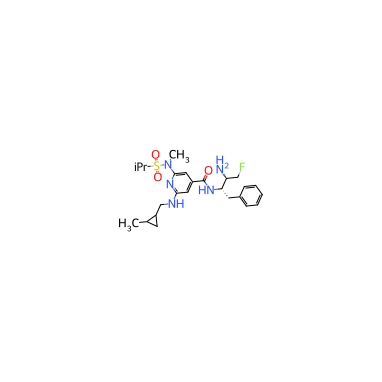 CC1CC1CNc1cc(C(=O)N[C@@H](Cc2ccccc2)[C@@H](N)CF)cc(N(C)S(=O)(=O)C(C)C)n1